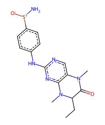 CCC1C(=O)N(C)c2cnc(Nc3ccc([S+](N)[O-])cc3)nc2N1C